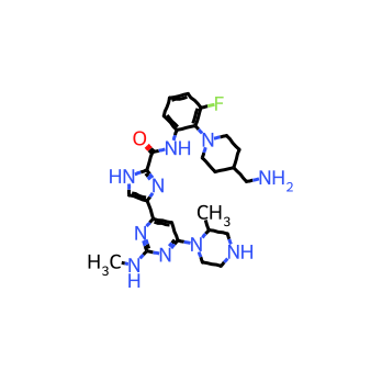 CNc1nc(-c2c[nH]c(C(=O)Nc3cccc(F)c3N3CCC(CN)CC3)n2)cc(N2CCNCC2C)n1